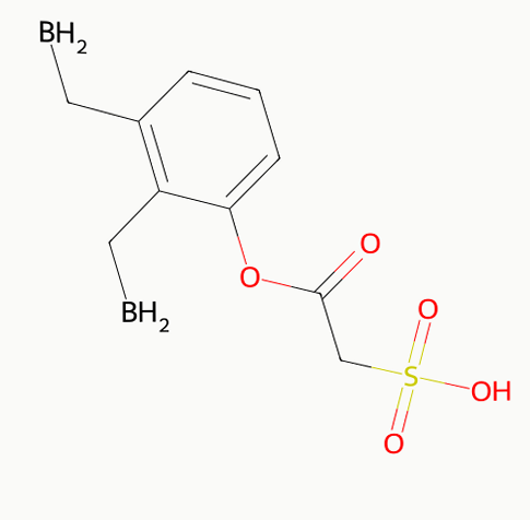 BCc1cccc(OC(=O)CS(=O)(=O)O)c1CB